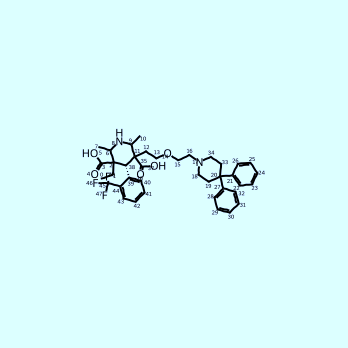 CCC1(C(=O)O)C(C)NC(C)C(CCOCCN2CCC(c3ccccc3)(c3ccccc3)CC2)(C(=O)O)[C@@H]1c1ccccc1C(F)(F)F